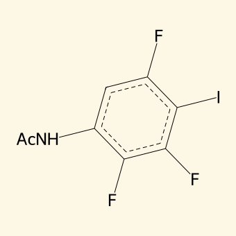 CC(=O)Nc1cc(F)c(I)c(F)c1F